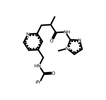 CC(C)C(=O)NCc1ccnc(CC(C)C(=O)Nc2nccn2C)c1